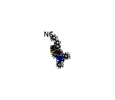 N#Cc1ccc(-c2ccc3cc4c(cc3c2)C2(c3ccccc3Sc3ccc(-c5nc(-c6ccccc6)nc(-c6ccccc6)n5)cc32)c2ccccc2-4)cc1